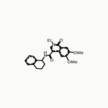 CCn1cc(C(=O)NC2CCCc3ccccc32)c2cc(OC)c(OC)cc2c1=O